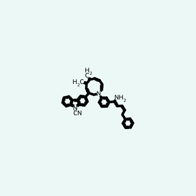 C=C1/C=C\C=C/N(c2cccc(/C(N)=C/C=C\Cc3ccccc3)c2)C/C(c2ccc3c(c2)c2ccccc2n3C#N)=C\C1=C